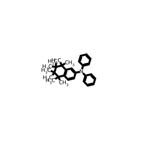 CC1(C)c2ccc(N(c3ccccc3)c3ccccc3)cc2C(C)(C)C(C)(C)C1(C)C